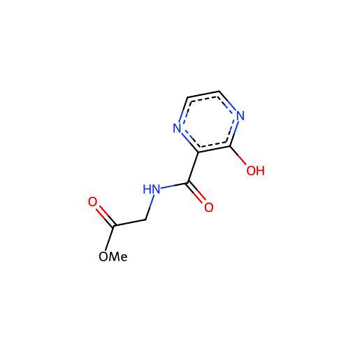 COC(=O)CNC(=O)c1nccnc1O